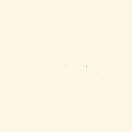 C=C(C)[C@@H]1CCC(C)=C[C@H]1c1c(O)cc(CCCCC)cc1OP(=O)(NCCCOS(C)(=O)=O)N(C)C